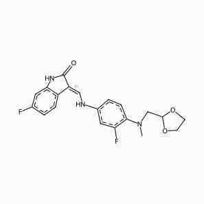 CN(CC1OCCO1)c1ccc(N/C=C2/C(=O)Nc3cc(F)ccc32)cc1F